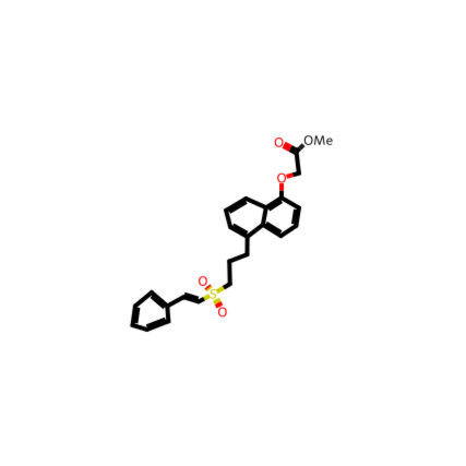 COC(=O)COc1cccc2c(CCCS(=O)(=O)C=Cc3ccccc3)cccc12